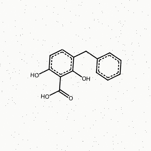 O=C(O)c1c(O)ccc(Cc2ccccc2)c1O